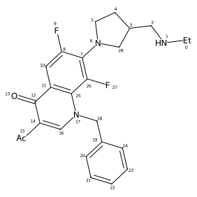 CCNCC1CCN(c2c(F)cc3c(=O)c(C(C)=O)cn(Cc4ccccc4)c3c2F)C1